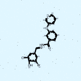 O=C(N/N=C/c1cc(Cl)c(O)c(Br)c1)c1cccc(Oc2ccccc2)c1